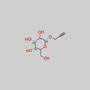 C#CCO[C@@H]1OC(CO)[C@H](O)[C@H](O)C1O